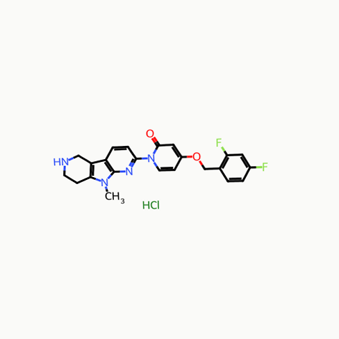 Cl.Cn1c2c(c3ccc(-n4ccc(OCc5ccc(F)cc5F)cc4=O)nc31)CNCC2